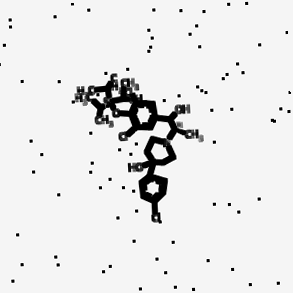 CC(C)[Si](Oc1c(Cl)cc(C(O)[C@@H](C)N2CCC(O)(c3ccc(Cl)cc3)CC2)cc1Cl)(C(C)C)C(C)C